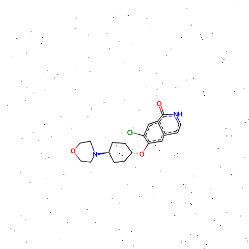 O=c1[nH]ccc2cc(O[C@H]3CC[C@H](N4CCOCC4)CC3)c(Cl)cc12